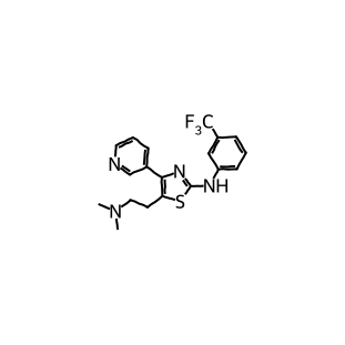 CN(C)CCc1sc(Nc2cccc(C(F)(F)F)c2)nc1-c1cccnc1